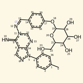 Cc1ccc(-n2ncc3c(=N)n(/N=C\c4ccc(OC5OC(CO)C(O)C(O)C5O)cc4)cnc32)cc1